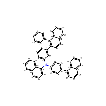 c1ccc(-c2c(-c3cccc(N(c4ccc(-c5cccc6ccccc56)cc4)c4cccc5ccccc45)c3)ccc3ccccc23)cc1